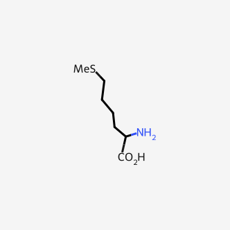 CSCCCCC(N)C(=O)O